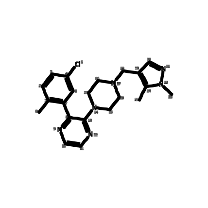 Cc1ccc(Cl)cc1-c1nccnc1N1CCN(Cc2cnn(C)c2C)CC1